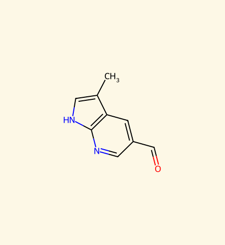 Cc1c[nH]c2ncc(C=O)cc12